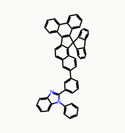 c1ccc(-n2c(-c3cccc(-c4ccc5c6c(ccc5c4)-c4c(c5ccccc5c5ccccc45)C64c5ccccc5-c5ccccc54)c3)nc3ccccc32)cc1